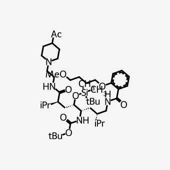 COCCCCOc1ccccc1C(=O)NC[C@@H](C[C@H](NC(=O)OC(C)(C)C)[C@H](C[C@H](C(=O)NCCN1CCC(C(C)=O)CC1)C(C)C)O[Si](C)(C)C(C)(C)C)C(C)C